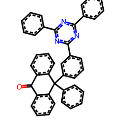 O=C1c2ccccc2C(c2ccccc2)(c2cccc(-c3nc(-c4ccccc4)nc(-c4ccccc4)n3)c2)c2ccccc21